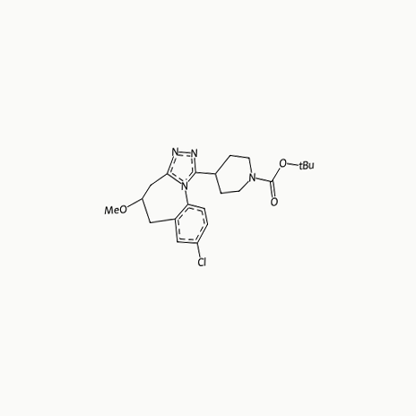 COC1Cc2cc(Cl)ccc2-n2c(nnc2C2CCN(C(=O)OC(C)(C)C)CC2)C1